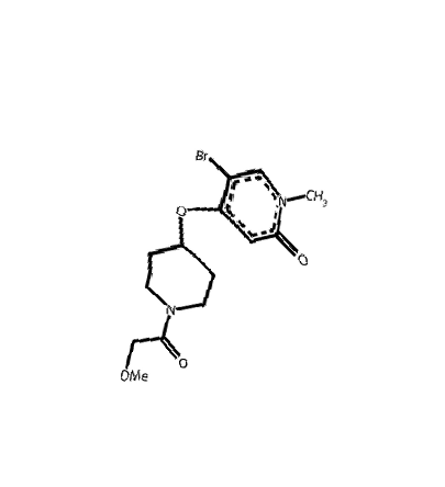 COCC(=O)N1CCC(Oc2cc(=O)n(C)cc2Br)CC1